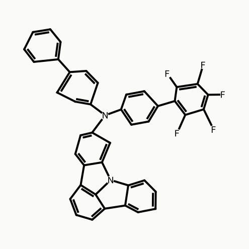 Fc1c(F)c(F)c(-c2ccc(N(c3ccc(-c4ccccc4)cc3)c3ccc4c5cccc6c7ccccc7n(c4c3)c65)cc2)c(F)c1F